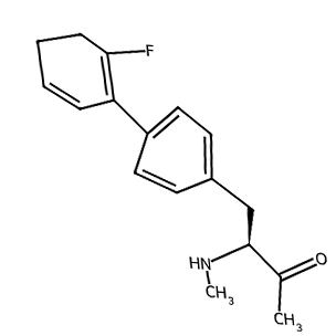 CN[C@@H](Cc1ccc(C2=C(F)CCC=C2)cc1)C(C)=O